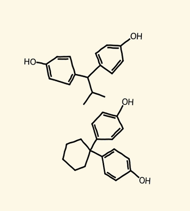 CC(C)C(c1ccc(O)cc1)c1ccc(O)cc1.Oc1ccc(C2(c3ccc(O)cc3)CCCCC2)cc1